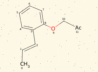 CC=Cc1ccccc1OCC(C)=O